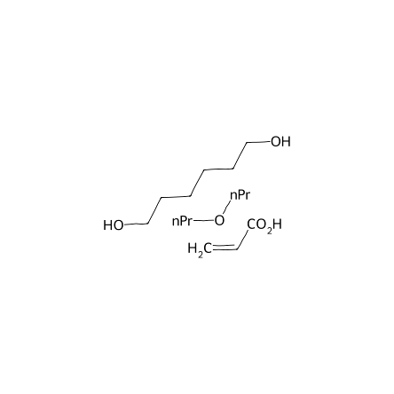 C=CC(=O)O.CCCOCCC.OCCCCCCO